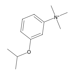 CC(C)Oc1cccc([N+](C)(C)C)c1